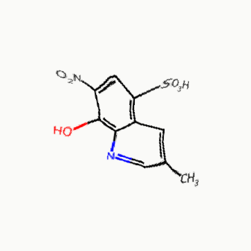 Cc1cnc2c(O)c([N+](=O)[O-])cc(S(=O)(=O)O)c2c1